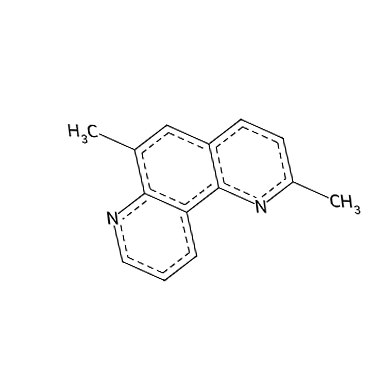 Cc1ccc2cc(C)c3ncccc3c2n1